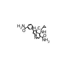 C[C@@H](Nc1c(C(N)=O)cnn2cc(-c3cccc(C(N)=O)c3)cc12)C1CC1